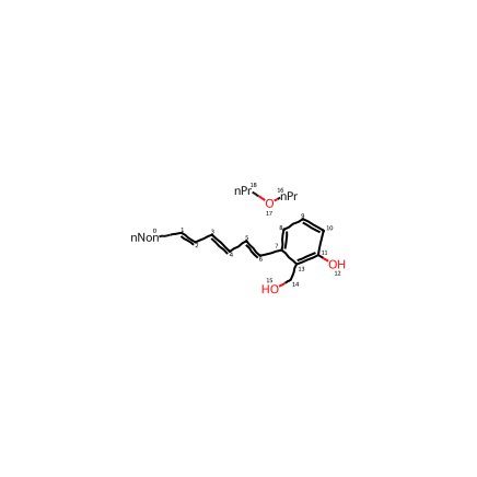 CCCCCCCCCC=CC=CC=Cc1cccc(O)c1CO.CCCOCCC